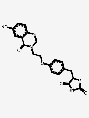 N#Cc1ccc2c(c1)C(=O)N(CCOc1ccc(CC3SC(=O)NC3=O)cc1)CS2